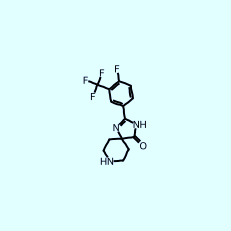 O=C1NC(c2ccc(F)c(C(F)(F)F)c2)=NC12CCNCC2